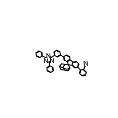 N#Cc1ccccc1-c1ccc2c(c1)C1(c3cc(-c4cccc(-c5nc(-c6ccccc6)nc(-c6ccccc6)n5)c4)ccc3-2)C2CC3CC(C2)CC1C3